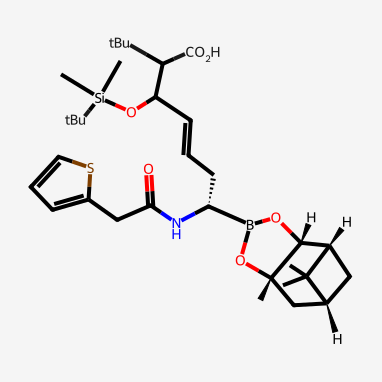 CC(C)(C)C(C(=O)O)C(C=CC[C@@H](NC(=O)Cc1cccs1)B1O[C@@H]2[C@@H]3C[C@H](C[C@]2(C)O1)C3(C)C)O[Si](C)(C)C(C)(C)C